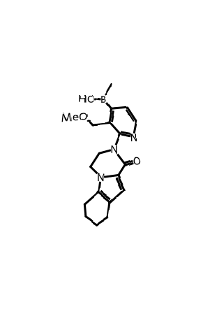 COCc1c(B(C)O)ccnc1N1CCn2c(cc3c2CCCC3)C1=O